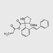 C=CC(=O)OC(=O)C1(c2ccccc2C=Cc2ccccc2)NCCC1OC